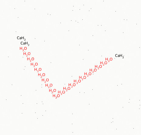 O.O.O.O.O.O.O.O.O.O.O.O.O.O.O.O.O.O.O.O.[CaH2].[CaH2].[CaH2]